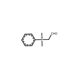 C[PH](C)([CH]C=O)c1ccccc1